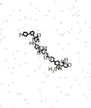 Cn1nc(C2CCC(=O)NC2=O)c2ccc(C3CCN(C(=O)CN4CCC(O)(C(=O)N5CCC(Nc6ncc(Cl)c(-c7cccc(-c8ccc(F)cc8)c7)n6)CC5)CC4)CC3)cc21